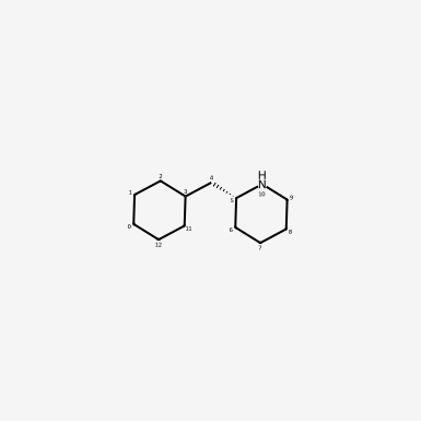 C1CCC(C[C@H]2CCCCN2)CC1